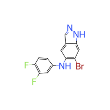 Fc1ccc(Nc2cc3cn[nH]c3cc2Br)cc1F